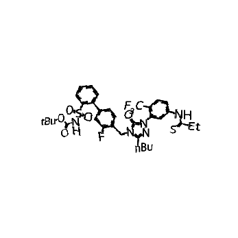 CCCCc1nn(-c2cc(NC(=S)CC)ccc2C(F)(F)F)c(=O)n1Cc1ccc(-c2ccccc2S(=O)(=O)NC(=O)OC(C)(C)C)cc1F